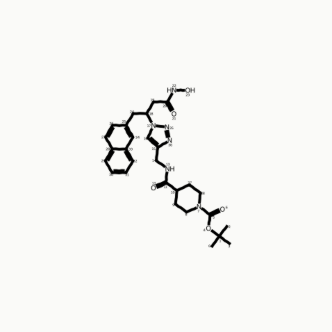 CC(C)(C)OC(=O)N1CCC(C(=O)NCc2cn(C(CC(=O)NO)Cc3ccc4ccccc4c3)nn2)CC1